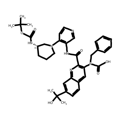 CC(C)(C)OC(=O)N[C@H]1CCCN(c2ccncc2NC(=O)c2nc3cc(C(C)(C)O)ccc3cc2N(Cc2ccccc2)C(=O)O)C1